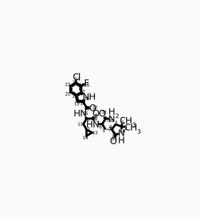 CC1(C)C[C@@H](CC(NC(=O)C(CC2CC2)NC(=O)c2cc3ccc(Cl)c(F)c3[nH]2)C(N)=O)C(=O)N1